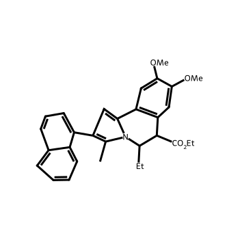 CCOC(=O)C1c2cc(OC)c(OC)cc2-c2cc(-c3cccc4ccccc34)c(C)n2C1CC